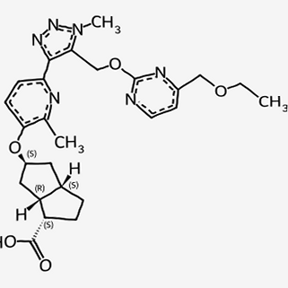 CCOCc1ccnc(OCc2c(-c3ccc(O[C@H]4C[C@@H]5CC[C@H](C(=O)O)[C@@H]5C4)c(C)n3)nnn2C)n1